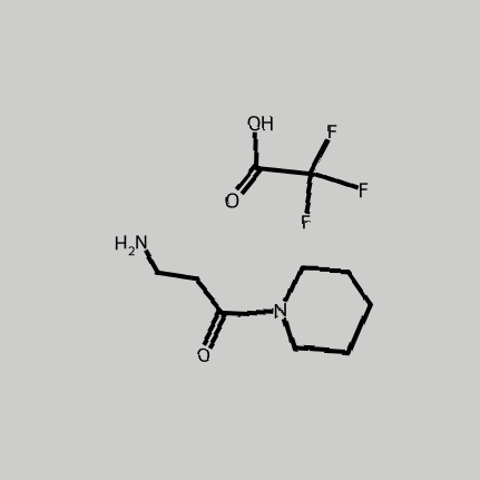 NCCC(=O)N1CCCCC1.O=C(O)C(F)(F)F